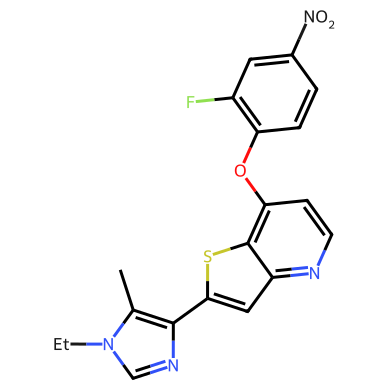 CCn1cnc(-c2cc3nccc(Oc4ccc([N+](=O)[O-])cc4F)c3s2)c1C